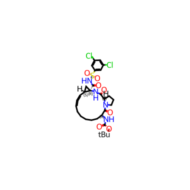 CC(C)(C)OC(=O)N[C@H]1CCCCCC=C=C[C@@H]2C[C@@]2(C(=O)NS(=O)(=O)c2cc(Cl)cc(Cl)c2)NC(=O)[C@@H]2CCCN2C1=O